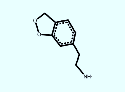 [NH]CCc1ccc2c(c1)OOC2